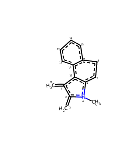 C=c1c(=C)n(C)c2ccc3ccccc3c12